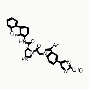 CC(=O)c1cn(CC(=O)N2C[C@H](F)C[C@H]2C(=O)Nc2cccc(-c3ccccc3Cl)c2F)c2ccc(-c3cnc(C=O)nc3)cc12